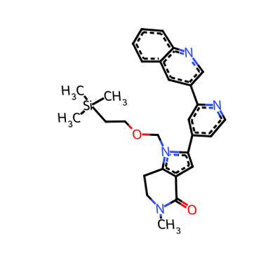 CN1CCc2c(cc(-c3ccnc(-c4cnc5ccccc5c4)c3)n2COCC[Si](C)(C)C)C1=O